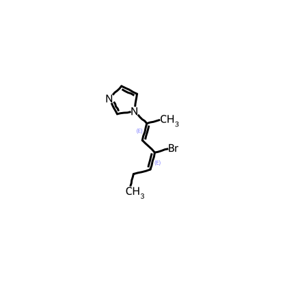 CC/C=C(Br)\C=C(/C)n1ccnc1